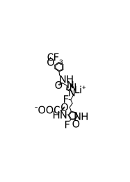 O=C([O-])C(=O)Nc1c(CCC(F)Cn2cc(C(=O)NCc3cccc(OC(F)(F)F)c3)nn2)c[nH]c(=O)c1F.[Li+]